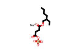 CCCCC(CC)COC(=O)CCC(=O)OS(=O)(=O)[O-].[Na+]